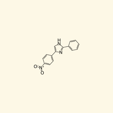 O=[N+]([O-])c1ccc(-c2c[nH]c(-c3ccccc3)n2)cc1